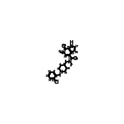 CN(CC1CCN(Cc2ccccc2Cl)CC1)C(=O)c1cn(C)c(=O)c2[nH]ccc12